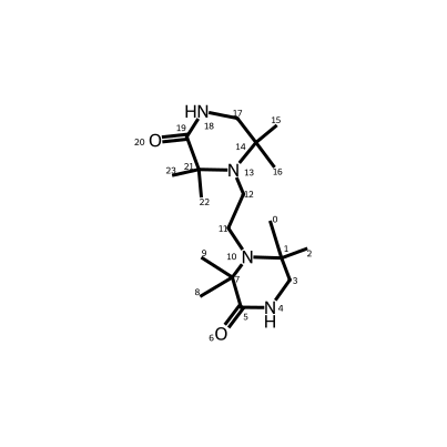 CC1(C)CNC(=O)C(C)(C)N1CCN1C(C)(C)CNC(=O)C1(C)C